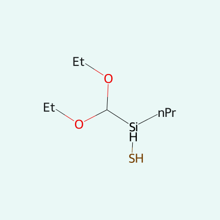 CCC[SiH](S)C(OCC)OCC